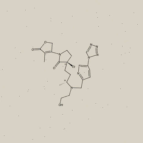 CC[C@]1(CC[C@@H](C)N(CCO)Cc2ccc(-n3cnnn3)cn2)CCN(C2=C(C)C(=O)OC2)C1=O